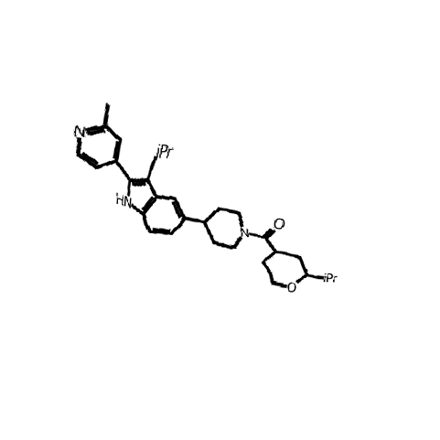 Cc1cc(-c2[nH]c3ccc(C4CCN(C(=O)C5CCOC(C(C)C)C5)CC4)cc3c2C(C)C)ccn1